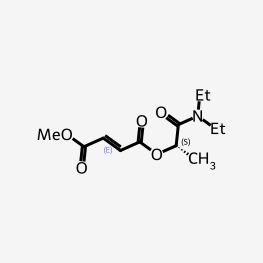 CCN(CC)C(=O)[C@H](C)OC(=O)/C=C/C(=O)OC